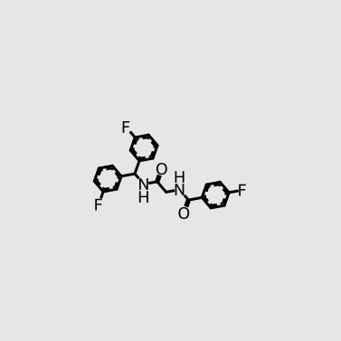 O=C(CNC(=O)c1ccc(F)cc1)NC(c1cccc(F)c1)c1cccc(F)c1